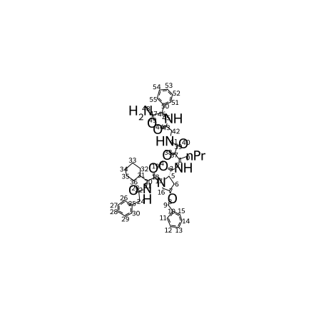 CCCC(NC(=O)[C@@H]1C[C@@H](OCc2ccccc2)CN1C(=O)C(NC(=O)Cc1ccccc1)C1CCCCC1)C(=O)C(=O)NCC(=O)N[C@@H](C(N)=O)c1ccccc1